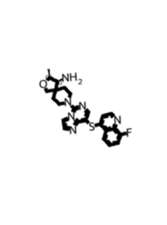 C[C@@H]1OCC2(CCN(c3ncc(Sc4ccnc5c(F)cccc45)c4nccn34)CC2)[C@@H]1N